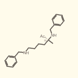 CC(=O)[C@](C)(CCCCNCc1ccccc1)NCc1ccccc1